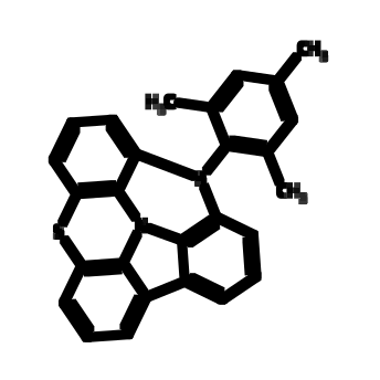 Cc1cc(C)c(B2c3cccc4c3-n3c5c(cccc5c5cccc2c53)S4)c(C)c1